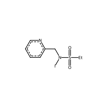 CCS(=O)(=O)N(I)Cc1ccccn1